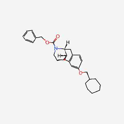 O=C(OCc1ccccc1)N1CC[C@]23CCCC[C@H]2[C@H]1Cc1ccc(OCC2CCCCCC2)cc13